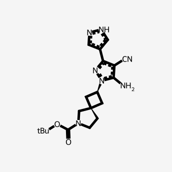 CC(C)(C)OC(=O)N1CC[C@]2(C1)C[C@H](n1nc(-c3cn[nH]c3)c(C#N)c1N)C2